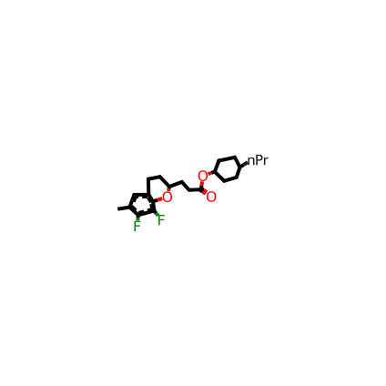 CCCC1CCC(OC(=O)CCC2CCc3cc(C)c(F)c(F)c3O2)CC1